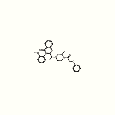 COc1ccccc1-n1c(C(C)N2CCN(C(=O)COc3ccccc3)C(C)C2)nc2ccccc2c1=O